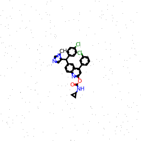 Cn1cncc1C(c1ccc(Cl)cc1)c1ccc2nc(OC(=O)NC3CC3)cc(-c3cccc(Cl)c3)c2c1